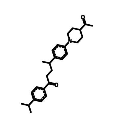 CC(=O)C1CCN(c2ccc(C(C)CCC(=O)c3ccc(C(C)C)cc3)cc2)CC1